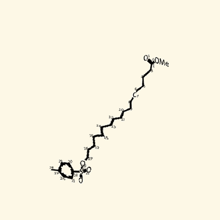 COC(=O)CCCCCCCCCCCCCCCCCOS(=O)(=O)c1ccc(C)cc1